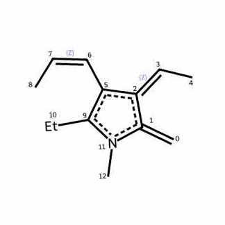 C=c1/c(=C\C)c(/C=C\C)c(CC)n1C